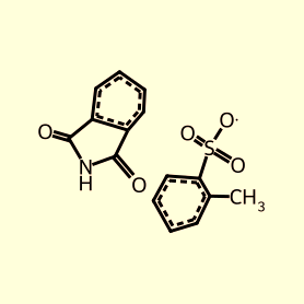 Cc1ccccc1S([O])(=O)=O.O=C1NC(=O)c2ccccc21